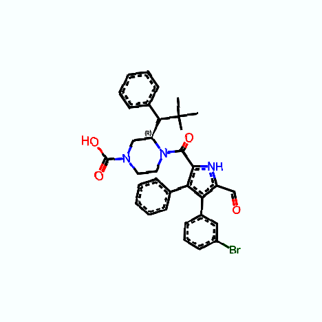 CC(C)(C)C(c1ccccc1)[C@@H]1CN(C(=O)O)CCN1C(=O)c1[nH]c(C=O)c(-c2cccc(Br)c2)c1-c1ccccc1